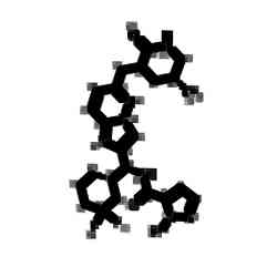 CC(C)n1nccc1C(=O)N[C@H](c1cn2nc(CC3C[C@@H](C(F)(F)F)CNC3=O)ccc2n1)[C@H]1CCCC(F)(F)C1